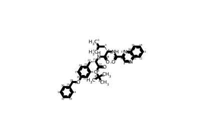 CC(C)C[C@H](NC(=O)c1cnc2ccccc2n1)C(=O)N[C@@H](Cc1ccc(OCc2ccccc2)cc1)C(=O)OC(C)(C)C